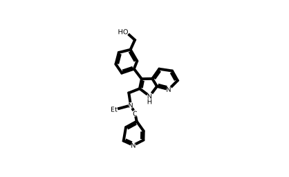 CCN(Cc1ccncc1)Cc1[nH]c2ncccc2c1-c1cccc(CO)c1